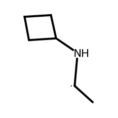 C[CH]NC1CCC1